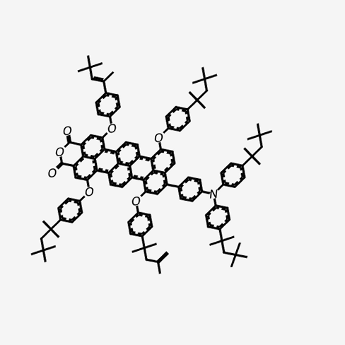 C=C(C)CC(C)(C)c1ccc(Oc2cc(-c3ccc(N(c4ccc(C(C)(C)CC(C)(C)C)cc4)c4ccc(C(C)(C)CC(C)(C)C)cc4)cc3)c3ccc(Oc4ccc(C(C)(C)CC(C)(C)C)cc4)c4c5ccc6c7c(Oc8ccc(/C(C)=C/C(C)(C)C)cc8)cc8c9c(cc(Oc%10ccc(C(C)(C)CC(C)(C)C)cc%10)c(c%10ccc(c2c34)c5c6%10)c97)C(=O)OC8=O)cc1